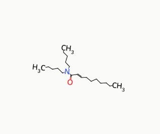 CCCCCCCC=CC(=O)N(CCCCC)CCCCC